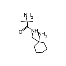 CC(C)(N)C(=O)NCC1(N)CCCCC1